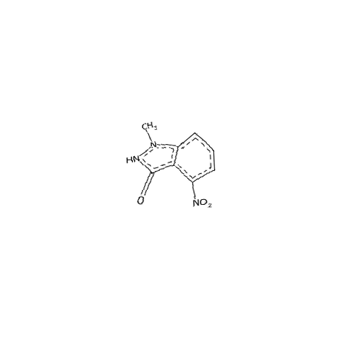 Cn1[nH]c(=O)c2c([N+](=O)[O-])cccc21